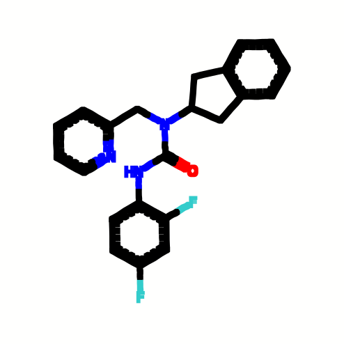 O=C(Nc1ccc(F)cc1F)N(Cc1ccccn1)C1Cc2ccccc2C1